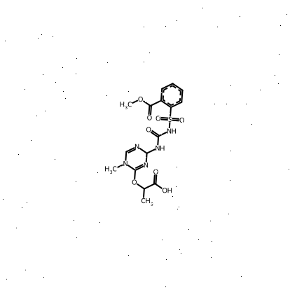 COC(=O)c1ccccc1S(=O)(=O)NC(=O)NC1N=CN(C)C(OC(C)C(=O)O)=N1